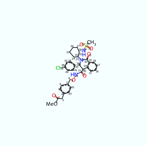 COC(=O)Cc1ccc(CONC(=O)[C@@H]2c3ccccc3C(=O)N([C@H]3CCCC[C@@H]3NS(C)(=O)=O)[C@H]2c2ccc(Cl)cc2)cc1